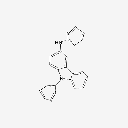 c1ccc(-n2c3ccccc3c3cc(Nc4ccccn4)ccc32)cc1